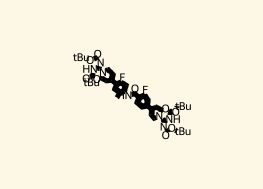 Cc1cc(C2=CCN(C(=NC(=O)OC(C)(C)C)NC(=O)OC(C)(C)C)CC2)c(F)cc1NC(=O)c1ccc(C2=CCN(C(=NC(=O)OC(C)(C)C)NC(=O)OC(C)(C)C)CC2)cc1F